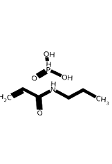 C=CC(=O)NCCC.O=[PH](O)O